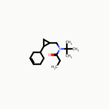 CCC(=O)N(CC1CC1C1CC=CCC1)C(C)(C)C